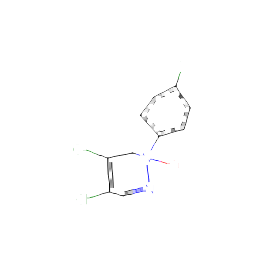 [O-][N+]1(c2ccc(Cl)cc2)CC(Cl)=C(Cl)C=N1